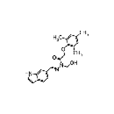 Cc1cc(C)c(OCC(=O)N(CO)/N=C/c2ccc3cc[nH]c3c2)c(C)c1